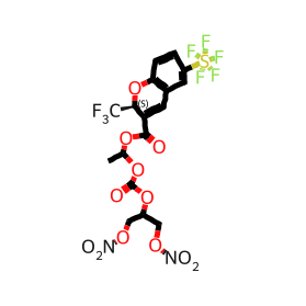 CC(OC(=O)OC(CO[N+](=O)[O-])CO[N+](=O)[O-])OC(=O)C1=Cc2cc(S(F)(F)(F)(F)F)ccc2O[C@@H]1C(F)(F)F